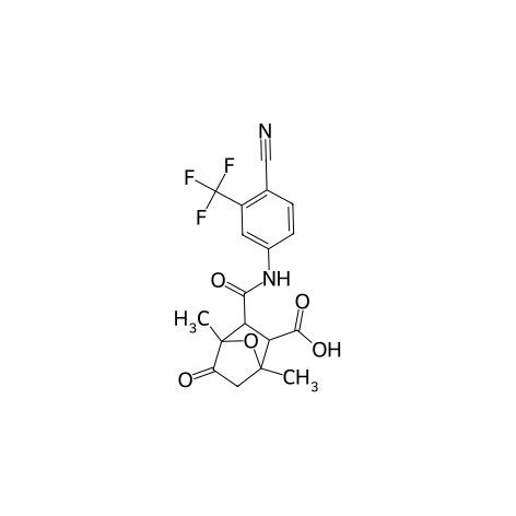 CC12CC(=O)C(C)(O1)C(C(=O)Nc1ccc(C#N)c(C(F)(F)F)c1)C2C(=O)O